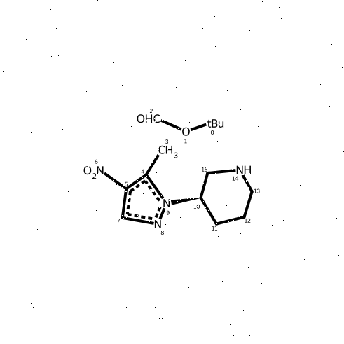 CC(C)(C)OC=O.Cc1c([N+](=O)[O-])cnn1[C@@H]1CCCNC1